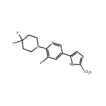 O=C(O)c1ncc(-c2cnc(N3CCC(F)(F)CC3)c(F)c2)[nH]1